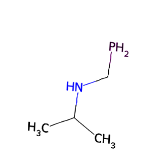 CC(C)NCP